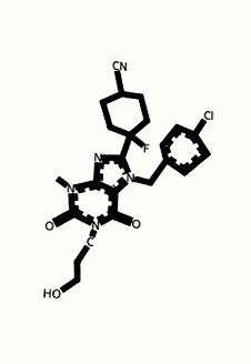 Cn1c(=O)n(CCCO)c(=O)c2c1nc(C1(F)CCC(C#N)CC1)n2Cc1ccc(Cl)cc1